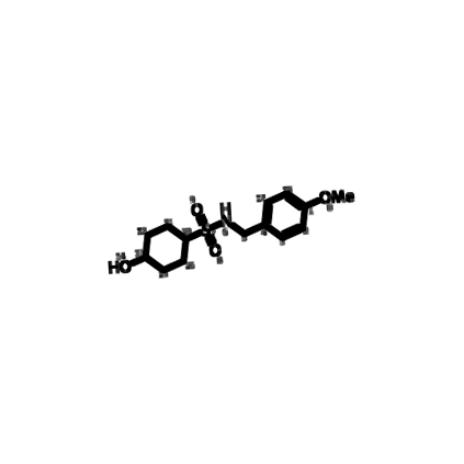 COc1ccc(CNS(=O)(=O)C2CCC(O)CC2)cc1